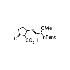 CCCCCC(C=CC1CCC(=O)C1C(=O)O)OC